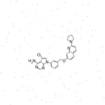 Nc1ncnc2c1c(Cl)cn2-c1cccc(COc2ccc3ccc(N4CCCC4)nc3c2)c1